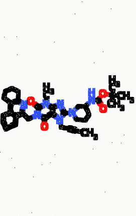 CC#CCn1c(N2CCCC(NC(=O)OC(C)(C)C)C2)nc2c1c(=O)n(Cc1nc3c(c4ccccc14)CCCC3)c(=O)n2C